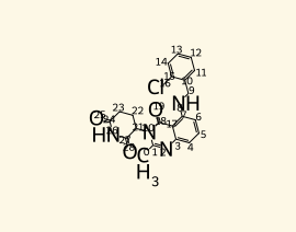 Cc1nc2cccc(NCc3ccccc3Cl)c2c(=O)n1C1CCC(=O)NC1=O